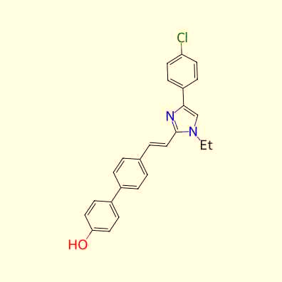 CCn1cc(-c2ccc(Cl)cc2)nc1/C=C/c1ccc(-c2ccc(O)cc2)cc1